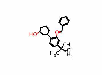 CCC(C)(C)c1ccc([C@@H]2CCC[C@H](O)C2)c(OCc2ccccc2)c1